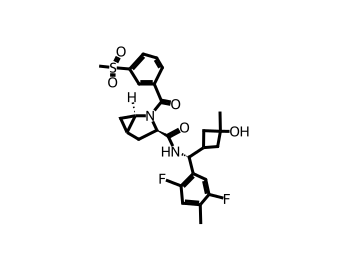 Cc1cc(F)c([C@H](NC(=O)[C@H]2CC3C[C@H]3N2C(=O)c2cccc(S(C)(=O)=O)c2)C2CC(C)(O)C2)cc1F